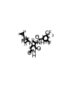 O=C1C=C2C(C(=O)N1)C(NC(=O)c1cc(F)cc(C(F)(F)F)c1)=CN2c1cnn(C2CC2)c1